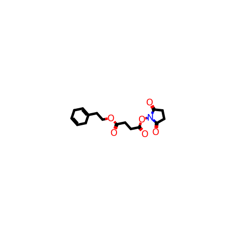 O=C(CCC(=O)ON1C(=O)CCC1=O)OCCC1=CCC=CC1